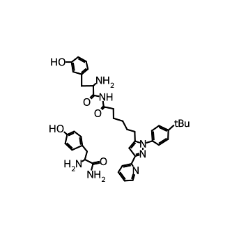 CC(C)(C)c1ccc(-n2nc(-c3ccccn3)cc2CCCCCC(=O)NC(=O)C(N)Cc2cccc(O)c2)cc1.NC(=O)C(N)Cc1ccc(O)cc1